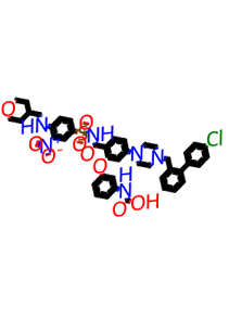 O=C(O)Nc1cccc(Oc2cc(N3CCN(Cc4ccccc4-c4ccc(Cl)cc4)CC3)ccc2C(=O)NS(=O)(=O)c2ccc(NCC3CCOCC3)c([N+](=O)[O-])c2)c1